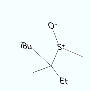 CCC(C)C(C)(CC)[S+](C)[O-]